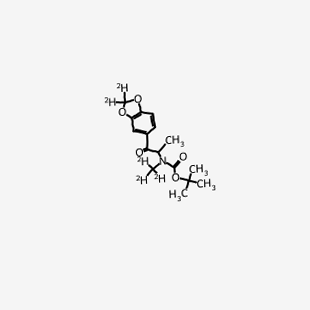 [2H]C1([2H])Oc2ccc(C(=O)C(C)N(C(=O)OC(C)(C)C)C([2H])([2H])[2H])cc2O1